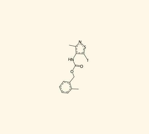 Cc1ccccc1COC(=O)Nc1c(C)nsc1I